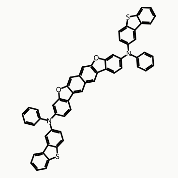 c1ccc(N(c2ccc3c(c2)oc2cc4cc5oc6cc(N(c7ccccc7)c7ccc8sc9ccccc9c8c7)ccc6c5cc4cc23)c2ccc3sc4ccccc4c3c2)cc1